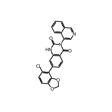 O=c1[nH]c2cc(-c3c(Cl)ccc4c3OCO4)ccc2c(=O)n1-c1cncc2ccccc12